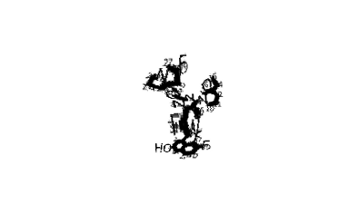 Oc1cc(-c2ncc3c(N4CCCC5(CCO5)C4)nc(OC[C@@]45CCCN4C[C@H](F)C5)nc3c2F)c2c(F)c(F)ccc2c1